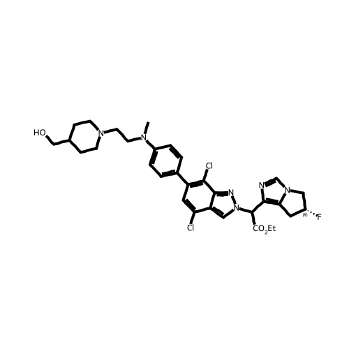 CCOC(=O)C(c1ncn2c1C[C@@H](F)C2)n1cc2c(Cl)cc(-c3ccc(N(C)CCN4CCC(CO)CC4)cc3)c(Cl)c2n1